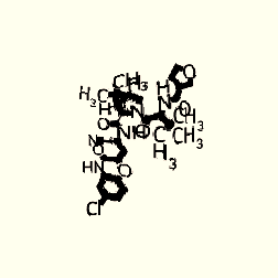 CC(C)(C)C(NC(=O)C1CCOC1)C(=O)N1C[C@H]2[C@@H]([C@H]1C(=O)N[C@H](C#N)CC1Oc3ccc(Cl)cc3NC1=O)C2(C)C